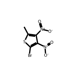 Cc1sc(Br)c([N+](=O)[O-])c1[N+](=O)[O-]